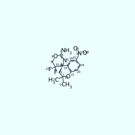 CC1(C)C[C@@]2(N=C(N)OCC2(F)F)c2cc([N+](=O)[O-])ccc2O1